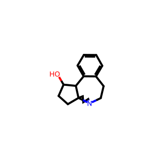 OC1CCC23CCCN2CCc2ccccc2C13